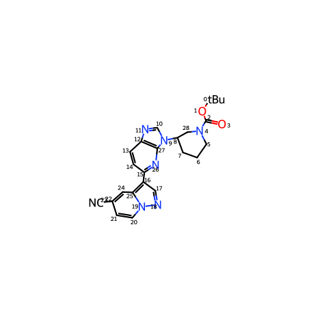 CC(C)(C)OC(=O)N1CCCC(n2cnc3ccc(-c4cnn5ccc(C#N)cc45)nc32)C1